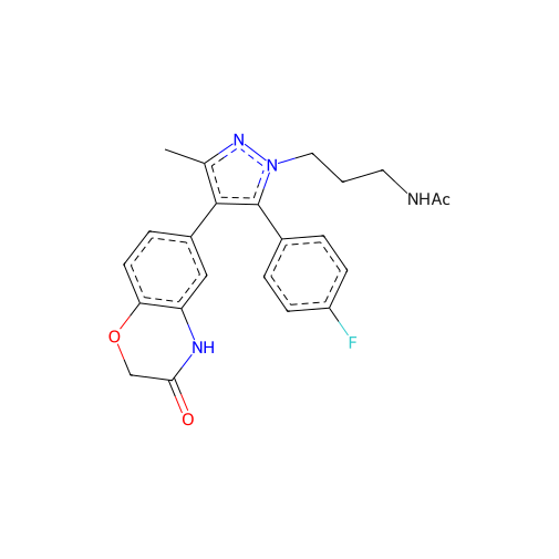 CC(=O)NCCCn1nc(C)c(-c2ccc3c(c2)NC(=O)CO3)c1-c1ccc(F)cc1